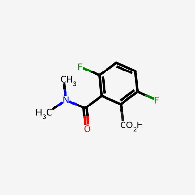 CN(C)C(=O)c1c(F)ccc(F)c1C(=O)O